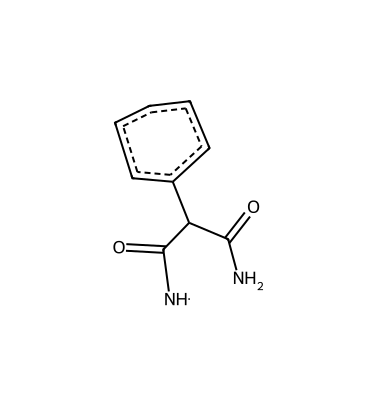 [NH]C(=O)C(C(N)=O)c1ccccc1